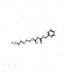 CCCOCCOC(=O)CC(=O)OCc1ccccc1